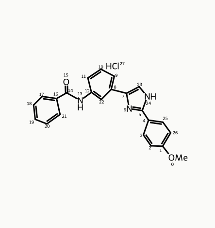 COc1ccc(-c2nc(-c3cccc(NC(=O)c4ccccc4)c3)c[nH]2)cc1.Cl